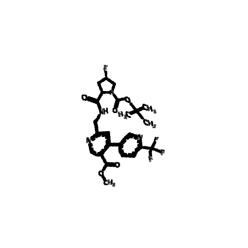 COC(=O)c1cnc(CNC(=O)C2C[C@@H](F)CN2C(=O)OC(C)(C)C)cc1-c1ccc(C(F)(F)F)nc1